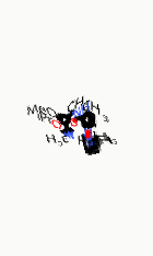 COc1cc([C@@H](C)NC(=O)c2cc(N3C[C@H]4CC[C@@H](C3)N4C)ccc2C)cc(-c2cnn(C)c2)c1OC(C)C